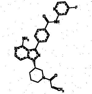 C=CC(=O)N1CCC[C@@H](n2nc(-c3ccc(C(=O)Nc4cc(F)ccn4)cc3)c3c(N)nccc32)C1